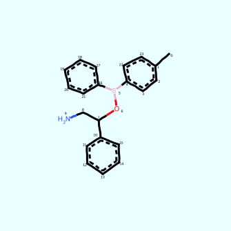 Cc1ccc(B(OC(CN)c2ccccc2)c2ccccc2)cc1